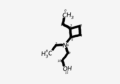 CCC1CCC1N(CC)CCO